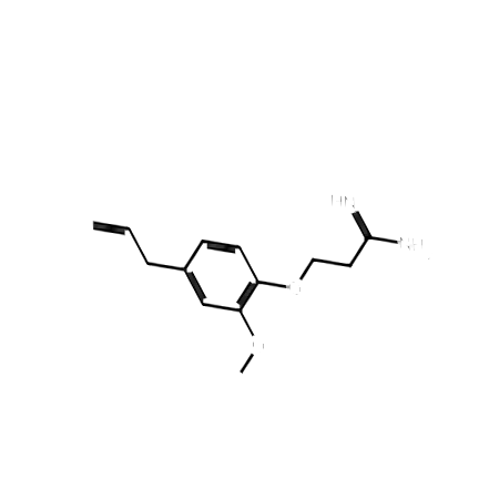 C=CCc1ccc(OCCC(=N)N)c(OC)c1